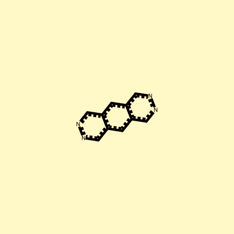 c1nncc2cc3cnncc3cc12